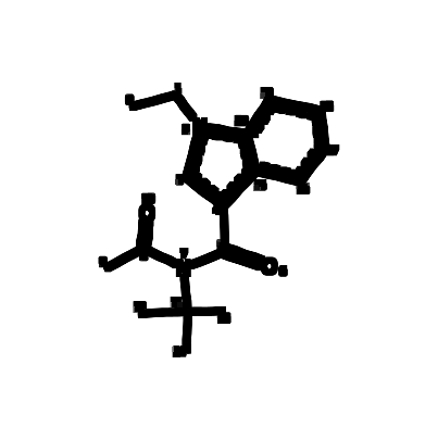 CCn1cc(C(=O)N(C(C)=O)C(C)(C)C)c2ccccc21